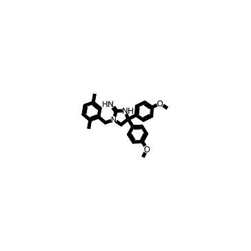 COc1ccc(C2(c3ccc(OC)cc3)CN(Cc3cc(C)ccc3C)C(=N)N2)cc1